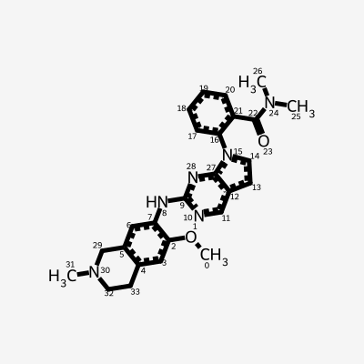 COc1cc2c(cc1Nc1ncc3ccn(-c4ccccc4C(=O)N(C)C)c3n1)CN(C)CC2